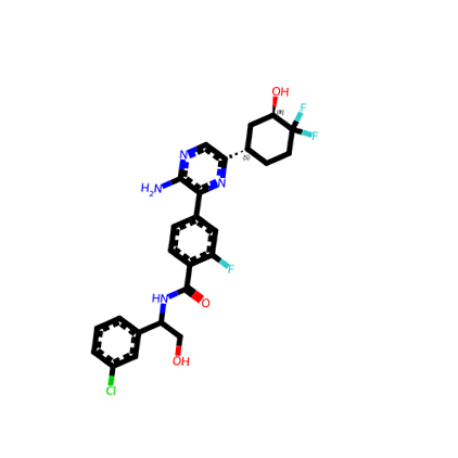 Nc1ncc([C@H]2CCC(F)(F)[C@H](O)C2)nc1-c1ccc(C(=O)NC(CO)c2cccc(Cl)c2)c(F)c1